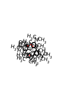 CC1=C(C)C(C)C([Si](c2c(N(C)C)cc(N(C)C)cc2N(C)C)(c2c(N(C)C)cc(N(C)C)cc2N(C)C)c2c(N(C)C)cc(N(C)C)cc2N(C)C)=C1C